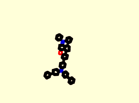 c1ccc(-c2ccc(N(c3ccc(-c4ccccc4)cc3)c3ccc(-c4ccc5c(c4)Oc4ccc(N(c6ccccc6)c6ccccc6)c6cccc-5c46)cc3)cc2)cc1